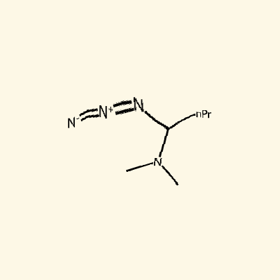 CCCC(N=[N+]=[N-])N(C)C